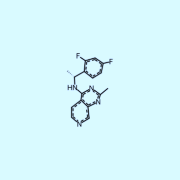 Cc1nc(N[C@H](C)c2ccc(F)cc2F)c2ccncc2n1